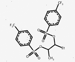 CCC(OS(=O)(=O)c1ccc(C(F)(F)F)cc1)C(C)OS(=O)(=O)c1ccc(C(F)(F)F)cc1